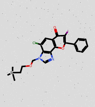 C[Si](C)(C)CCOCn1cnc2c3oc(-c4ccccc4)c(I)c(=O)c3cc(Cl)c21